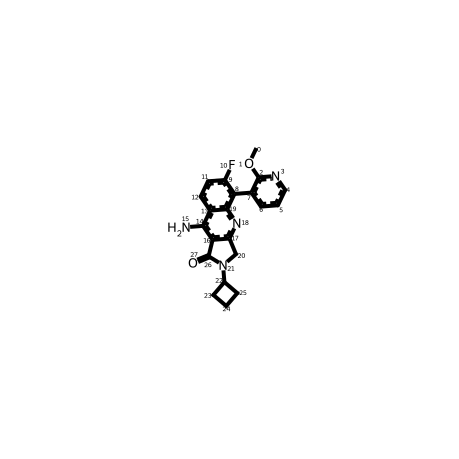 COc1ncccc1-c1c(F)ccc2c(N)c3c(nc12)CN(C1CCC1)C3=O